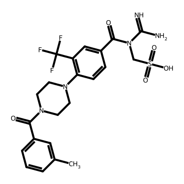 Cc1cccc(C(=O)N2CCN(c3ccc(C(=O)N(CS(=O)(=O)O)C(=N)N)cc3C(F)(F)F)CC2)c1